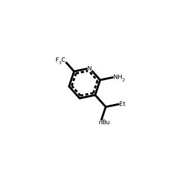 CCCCC(CC)c1ccc(C(F)(F)F)nc1N